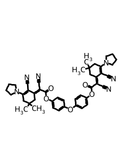 CC1(C)CC(N2CCCC2)=C(C#N)/C(=C(\C#N)C(=O)Oc2ccc(Oc3ccc(OC(=O)/C(C#N)=C4\CC(C)(C)CC(N5CCCC5)=C4C#N)cc3)cc2)C1